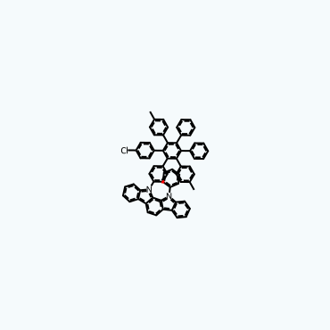 Cc1ccc(-c2c(-c3ccccc3)c(-c3ccccc3)c(-c3ccc(C)cc3)c(-c3ccc(-n4c5ccccc5c5ccc6c7ccccc7n(-c7ccccc7)c6c54)cc3)c2-c2ccc(Cl)cc2)cc1